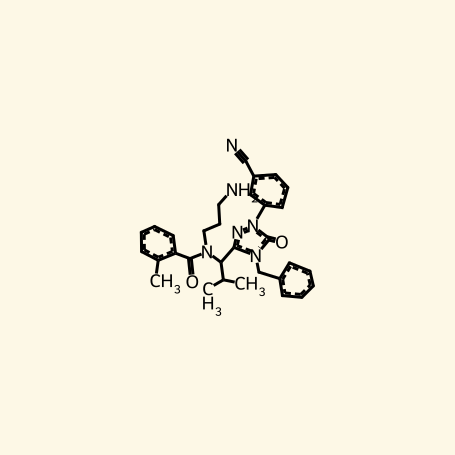 Cc1ccccc1C(=O)N(CCCN)C(c1nn(-c2cccc(C#N)c2)c(=O)n1Cc1ccccc1)C(C)C